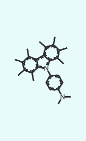 Cc1c(C)c(C)c2c(c1C)c1c(C)c(C)c(C)c(C)c1n2-c1ccc(N(C)C)cc1